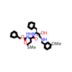 COc1cccc(CNC[C@@H](O)[C@H](Cc2ccccc2)NC(=O)C(CCSC)NC(=O)OCc2ccccc2)c1